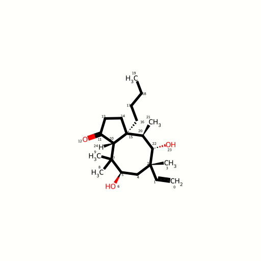 C=C[C@]1(C)C[C@@H](O)C(C)(C)[C@@H]2C(=O)CC[C@@]2(CCCC)[C@@H](C)[C@@H]1O